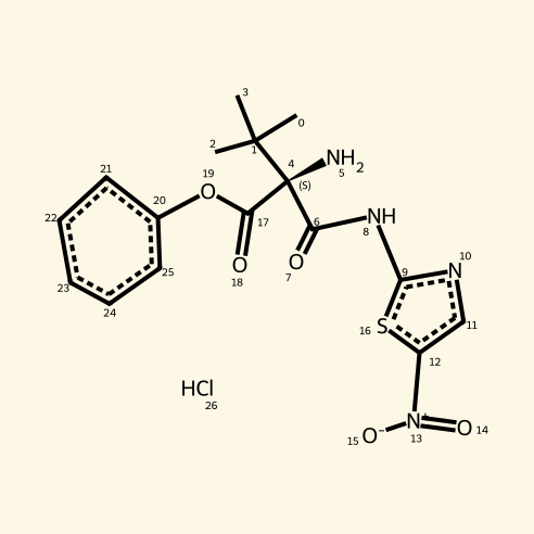 CC(C)(C)[C@](N)(C(=O)Nc1ncc([N+](=O)[O-])s1)C(=O)Oc1ccccc1.Cl